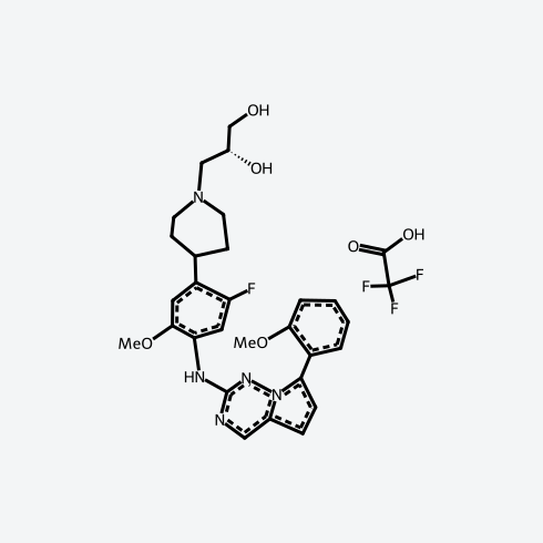 COc1cc(C2CCN(C[C@@H](O)CO)CC2)c(F)cc1Nc1ncc2ccc(-c3ccccc3OC)n2n1.O=C(O)C(F)(F)F